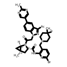 CC(=O)c1nn(CC(=O)N2[C@H](C(=O)Nc3nc(Br)ccc3CN3CCC(C)(F)CC3)C[C@@]3(C)C[C@@H]23)c2ccc(-c3cnc(C)nc3)cc12